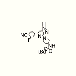 CC(C)(C)OC(=O)NC1CCN(c2nc(-c3ccc(C#N)c(F)c3)cc3[nH]cnc23)CC1